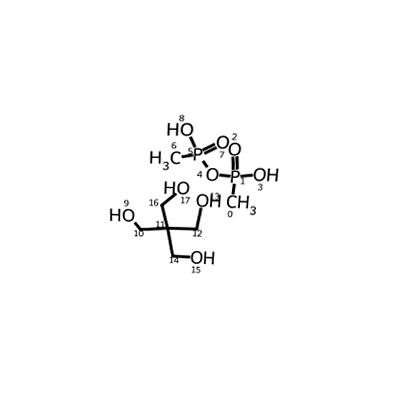 CP(=O)(O)OP(C)(=O)O.OCC(CO)(CO)CO